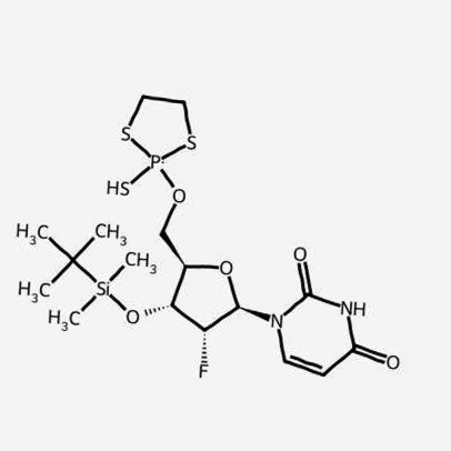 CC(C)(C)[Si](C)(C)O[C@H]1[C@@H](F)[C@H](n2ccc(=O)[nH]c2=O)O[C@@H]1CO[P]1(S)SCCS1